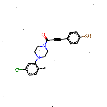 Cc1ccc(Cl)cc1N1CCN(C(=O)C#Cc2ccc(S)cc2)CC1